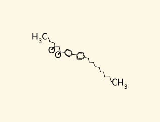 CCCCCCCCCCCc1ccc(-c2ccc(C(=O)CC(=O)CCCC)cc2)cc1